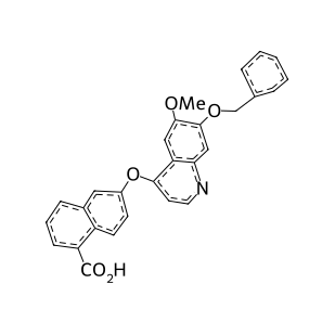 COc1cc2c(Oc3ccc4c(C(=O)O)cccc4c3)ccnc2cc1OCc1ccccc1